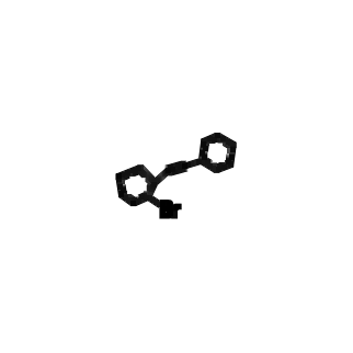 Brc1ccccc1C#Cc1ccccc1